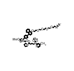 COC(=O)C[C@H](NC(=O)[C@H]1CCCN1C(=O)CCCN(C(=O)OC(C)(C)C)c1cc(C)ccn1)c1ccc(-c2ccc(OCCOCCOCCOCCOCCN=[N+]=[N-])c3ccccc23)cc1